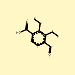 CCc1c(C=O)ccc(C(=O)O)c1CC